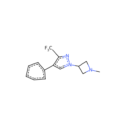 CN1CC(n2cc(-c3ccccc3)c(C(F)(F)F)n2)C1